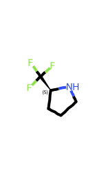 FC(F)(F)[C@@H]1CCCN1